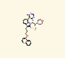 Cc1ncnc(C)c1-c1cccc2c(CCCOc3cccc4ccccc34)c(C(=O)O)n(CC(=O)N3CCOCC3)c12